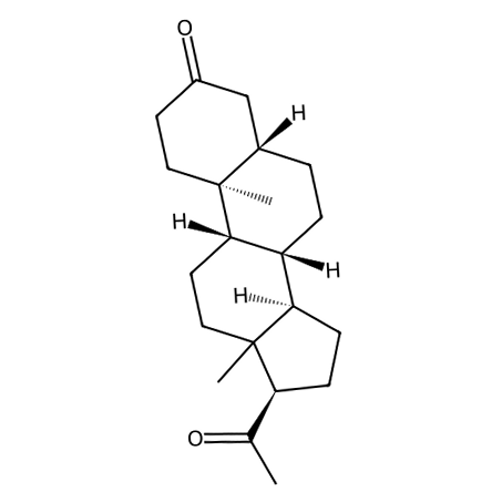 CC(=O)[C@@H]1CC[C@@H]2[C@H]3CC[C@H]4CC(=O)CC[C@]4(C)[C@H]3CCC21C